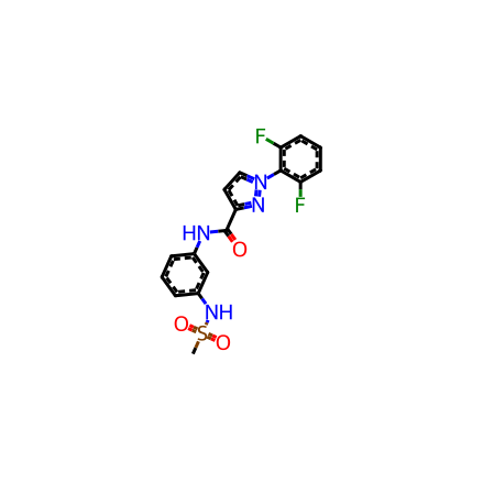 CS(=O)(=O)Nc1cccc(NC(=O)c2ccn(-c3c(F)cccc3F)n2)c1